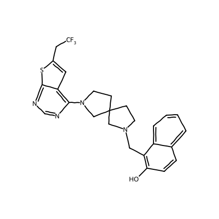 Oc1ccc2ccccc2c1CN1CCC2(CCN(c3ncnc4sc(CC(F)(F)F)cc34)C2)C1